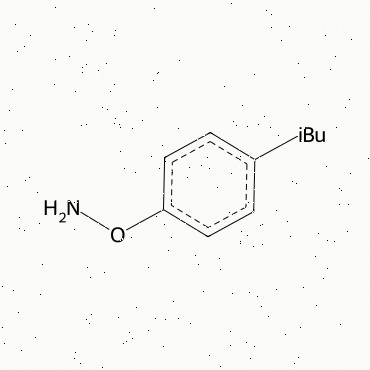 CCC(C)c1ccc(ON)cc1